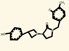 Cc1ccc(CN2CC[C@@H](N3CC(c4ccc(O)cc4)C3)C2=O)cc1F